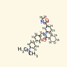 CN(C)c1ccc(-c2ccc(CN(C(=O)C3CCCCC3)c3cccc(-c4ncco4)c3)cc2)cc1